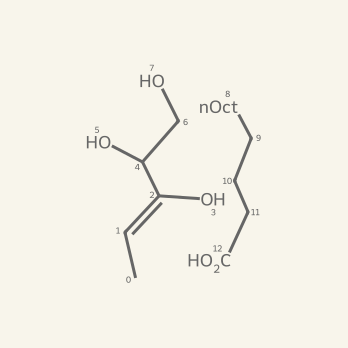 CC=C(O)C(O)CO.CCCCCCCCCCCC(=O)O